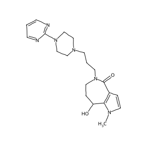 Cn1ccc2c1C(O)CCN(CCCN1CCN(c3ncccn3)CC1)C2=O